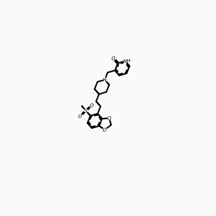 CS(=O)(=O)c1ccc2c(c1CCC1CCN(Cc3ccc[nH]c3=O)CC1)OCO2